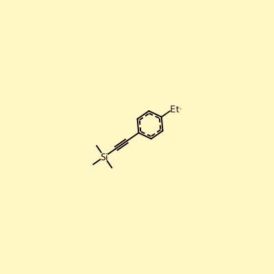 C[CH]c1ccc(C#C[Si](C)(C)C)cc1